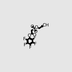 C#CCOS(=O)(=O)CC(=O)Oc1c(F)c(F)c(F)c(F)c1F